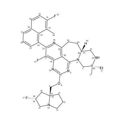 CC[C@]1(C)CN2c3nc(OC[C@@]45CCCN4C[C@H](F)C5)nc4c(F)c(-c5cccc6ccc(F)c(C)c56)nc(c34)CC[C@@H]2CN1